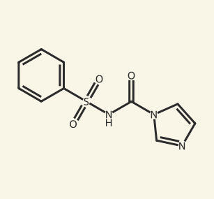 O=C(NS(=O)(=O)c1ccccc1)n1ccnc1